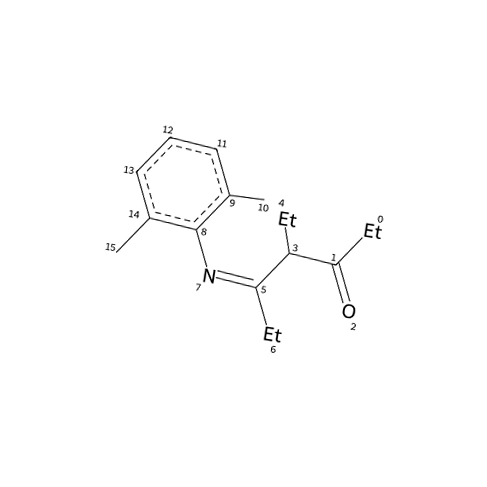 CCC(=O)C(CC)/C(CC)=N\c1c(C)cccc1C